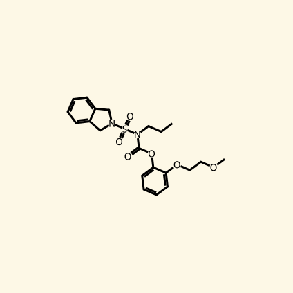 CCCN(C(=O)Oc1ccccc1OCCOC)S(=O)(=O)N1Cc2ccccc2C1